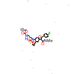 CNC(=O)c1c(-c2ccc(F)cc2)oc2cc(N(CCCNC(=O)OC(C)(C)C)S(C)(=O)=O)c(C3CC3)cc12